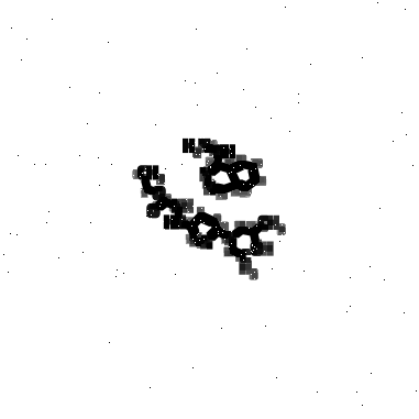 CCOC(=O)NNc1ccc(N(CC)CC(C)O)nn1.NNc1nncc2ccccc12